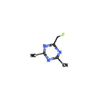 N#Cc1nc(C#N)nc(CF)n1